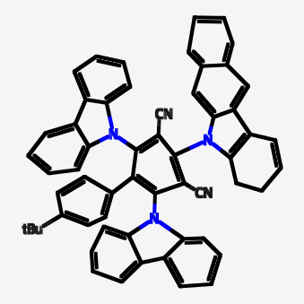 CC(C)(C)c1ccc(-c2c(-n3c4ccccc4c4ccccc43)c(C#N)c(-n3c4c(c5cc6ccccc6cc53)C=CCC4)c(C#N)c2-n2c3ccccc3c3ccccc32)cc1